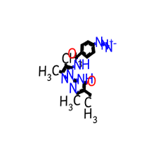 CCc1c(C)nc(-n2nc(C)c(C)c2NC(=O)c2ccc(N=[N+]=[N-])cc2)[nH]c1=O